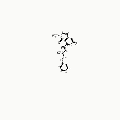 Cn1cnc2cc(Cl)nc(NCC(O)COc3ccccc3)c2c1=O